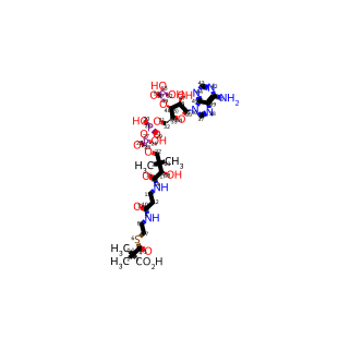 CC(C)(C(=O)O)C(=O)SCCNC(=O)CCNC(=O)[C@H](O)C(C)(C)COP(=O)(O)OP(=O)(O)OC[C@H]1O[C@@H](n2cnc3c(N)ncnc32)[C@H](O)[C@@H]1OP(=O)(O)O